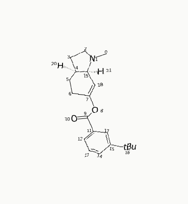 CN1CC[C@@H]2CCC(OC(=O)c3cccc(C(C)(C)C)c3)=C[C@@H]21